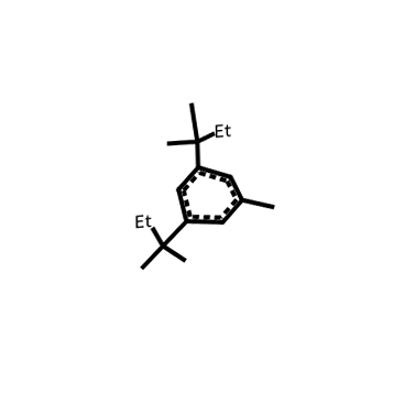 CCC(C)(C)c1cc(C)cc(C(C)(C)CC)c1